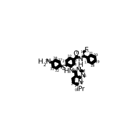 CC(C)c1ccc2c(Nc3cc(C(=O)N[C@@H](CF)c4ccccc4)ccc3Sc3ccc(N)cc3)ncnc2n1